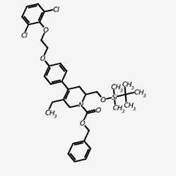 CCC1=C(c2ccc(OCCOc3c(Cl)cccc3Cl)cc2)CC(CO[Si](C)(C)C(C)(C)C)N(C(=O)OCc2ccccc2)C1